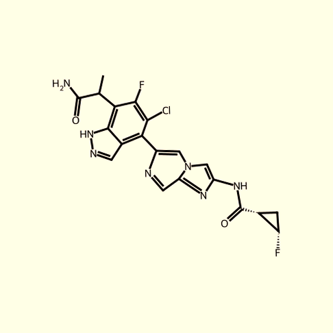 CC(C(N)=O)c1c(F)c(Cl)c(-c2cn3cc(NC(=O)[C@@H]4C[C@@H]4F)nc3cn2)c2cn[nH]c12